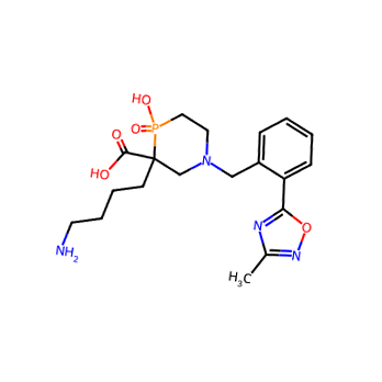 Cc1noc(-c2ccccc2CN2CCP(=O)(O)C(CCCCN)(C(=O)O)C2)n1